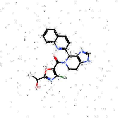 CC(O)c1nc(Cl)c(C(=O)N2CCc3[nH]cnc3[C@@H]2c2ccc3ccccc3n2)o1